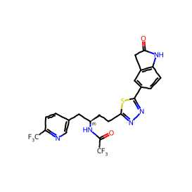 O=C1Cc2cc(-c3nnc(CC[C@H](Cc4ccc(C(F)(F)F)nc4)NC(=O)C(F)(F)F)s3)ccc2N1